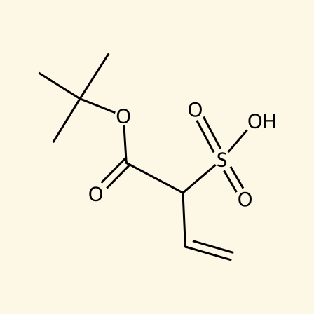 C=CC(C(=O)OC(C)(C)C)S(=O)(=O)O